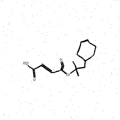 CC(C)(CC1CCCCC1)OC(=O)C=CC(=O)O